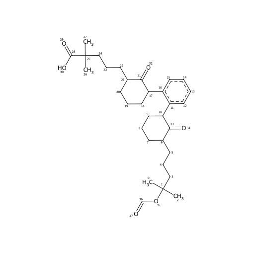 CC(C)(CCCC1CCCC(c2ccccc2C2CCCC(CCCC(C)(C)C(=O)O)C2=O)C1=O)OC=O